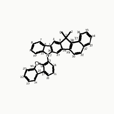 CC1(C)c2cc3c4ccccc4n(-c4cccc5c4oc4ccccc45)c3cc2-c2ccc3ccccc3c21